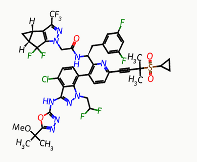 COC(C)(C)c1nnc(Nc2nn(CC(F)F)c3c(-c4ccc(C#CC(C)(C)S(=O)(=O)C5CC5)nc4[C@H](Cc4cc(F)cc(F)c4)NC(=O)Cn4nc(C(F)(F)F)c5c4C(F)(F)[C@@H]4C[C@H]54)ccc(Cl)c23)o1